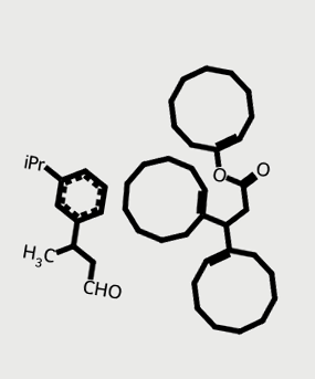 CC(C)c1cccc(C(C)CC=O)c1.O=C(CC(C1=CCCCCCCCC1)C1=CCCCCCCCC1)OC1=CCCCCCCCC1